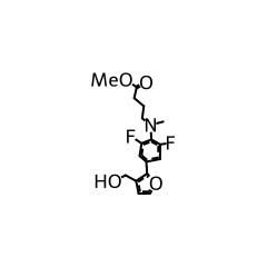 COC(=O)CCCN(C)c1c(F)cc(-c2occc2CO)cc1F